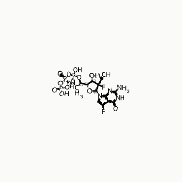 C#CC1(F)[C@@H](O)[C@@H]([C@H](C)OP(=O)(O)OP(=O)(O)OP(=O)(O)O)O[C@H]1n1cc(F)c2c(=O)[nH]c(N)nc21